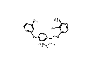 NON.Nc1ncnc(OCCc2ccc(Oc3cc(C(F)(F)F)ccn3)cc2)c1N